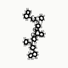 c1ccc(N(c2ccc(-c3cccc4ccccc34)cc2)c2ccc3c(c2)oc2c4oc5cc(N(c6ccccc6)c6ccc(-c7cccc8ccccc78)cc6)ccc5c4c4ccccc4c32)cc1